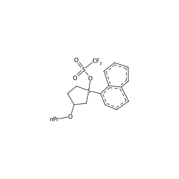 CCCOC1CCS(OS(=O)(=O)C(F)(F)F)(c2cccc3ccccc23)C1